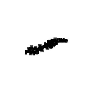 COc1ccc(S(=O)(=O)N2CC(=C3CN(C(=O)Cc4ccc(F)cc4F)C3)C2)nc1